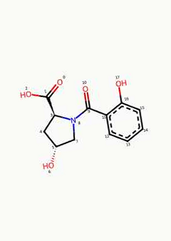 O=C(O)[C@@H]1C[C@@H](O)CN1C(=O)c1ccccc1O